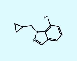 CC(C)c1cccc2cnn(CC3CC3)c12